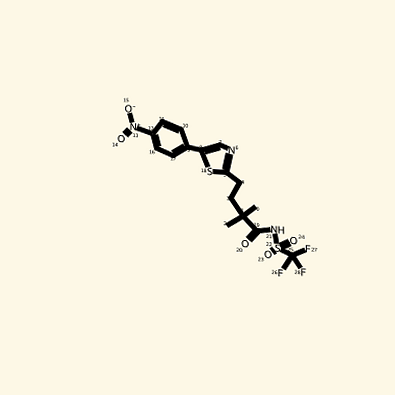 CC(C)(CCc1ncc(-c2ccc([N+](=O)[O-])cc2)s1)C(=O)NS(=O)(=O)C(F)(F)F